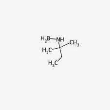 BNC(C)(C)CC